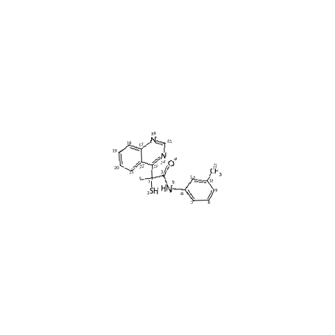 CC(S)(C(=O)Nc1cccc(C(F)(F)F)c1)c1ncnc2ccccc12